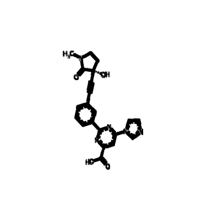 CN1CC[C@@](O)(C#Cc2cccc(-c3nc(C(=O)O)cc(-n4ccnc4)n3)c2)C1=O